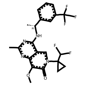 COc1c(=O)n(C2(C(F)F)CC2)cc2c(N[C@H](C)c3cccc(C(F)(F)F)c3)nc(C)nc12